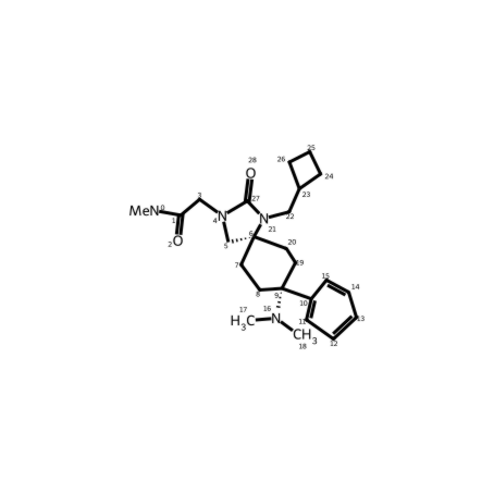 CNC(=O)CN1C[C@]2(CC[C@@](c3ccccc3)(N(C)C)CC2)N(CC2CCC2)C1=O